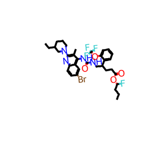 CCCC(F)OC(=O)CCC(CNC(=O)Nc1c(C)c(N2CCCC(CC)C2)nc2ccc(Br)cc12)c1ccccc1OC(F)(F)F